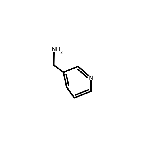 NCc1[c]nccc1